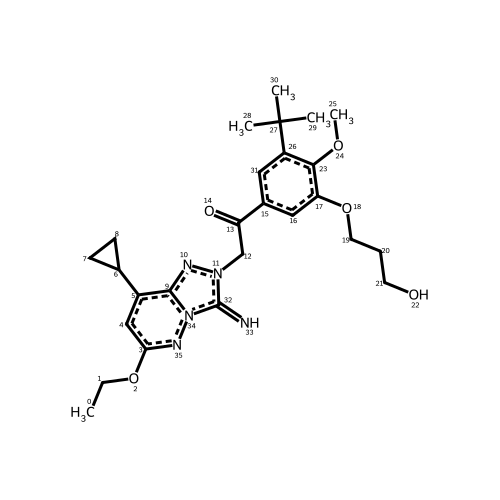 CCOc1cc(C2CC2)c2nn(CC(=O)c3cc(OCCCO)c(OC)c(C(C)(C)C)c3)c(=N)n2n1